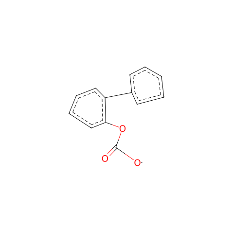 [O]C(=O)Oc1ccccc1-c1ccccc1